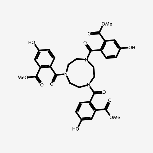 COC(=O)c1cc(O)ccc1C(=O)N1CCN(C(=O)c2ccc(O)cc2C(=O)OC)CCN(C(=O)c2ccc(O)cc2C(=O)OC)CC1